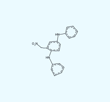 O=[N+]([O-])Cc1cc(Nc2ccccc2)ccc1Nc1ccccc1